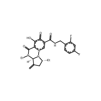 C=C1C[C@@H](CC)N2[C@@H]1N(CC)C(=O)c1c(O)c(=O)c(C(=O)NCc3ccc(F)cc3F)cn12